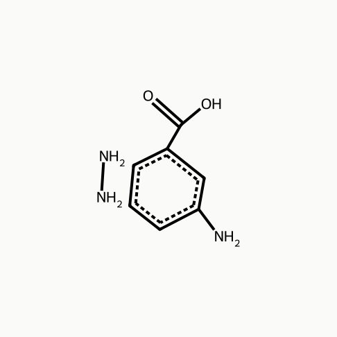 NN.Nc1cccc(C(=O)O)c1